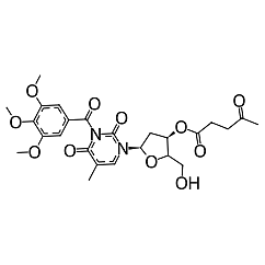 COc1cc(C(=O)n2c(=O)c(C)cn([C@H]3C[C@@H](OC(=O)CCC(C)=O)C(CO)O3)c2=O)cc(OC)c1OC